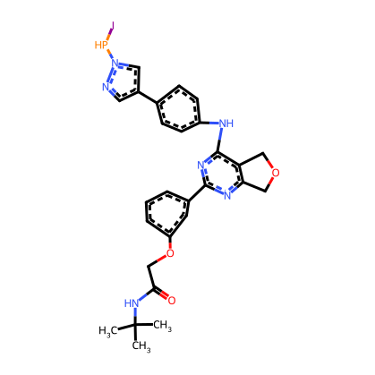 CC(C)(C)NC(=O)COc1cccc(-c2nc3c(c(Nc4ccc(-c5cnn(PI)c5)cc4)n2)COC3)c1